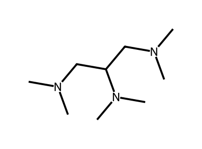 CN(C)CC(CN(C)C)N(C)C